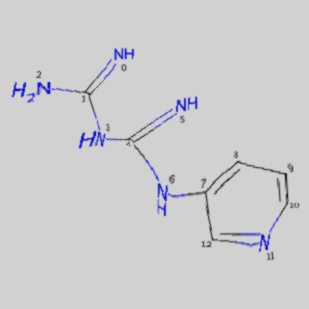 N=C(N)NC(=N)Nc1cccnc1